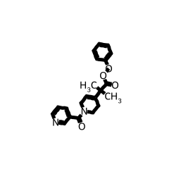 CC(C)(C(=O)OOc1ccccc1)C1=CCN(C(=O)c2cccnc2)CC1